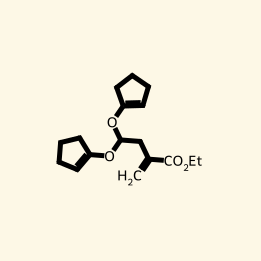 C=C(CC(OC1=CCCC1)OC1=CCCC1)C(=O)OCC